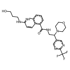 Cc1cccc(C(=O)NCC(c2cnc(C(F)(F)F)nc2)N2CCOCC2)c1/C=C\C(=N)NCCCO